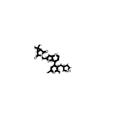 Cc1cc(-c2ccnc3cc(CN4C(=O)C5C(C4=O)C5(C)C)sc23)c(CC2CCNC2)c(C)n1